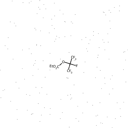 CCOC(=O)OC(F)(C(F)(F)F)C(F)(F)F